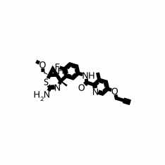 C#CCOc1cnc(C(=O)Nc2ccc(F)c([C@]3(C)N=C(N)S[C@@]4(COC)C[C@H]43)c2)c(C)c1